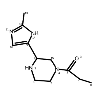 CCC(=O)N1CCNC(c2cnc(C)[nH]2)C1